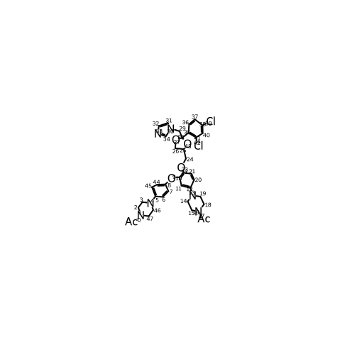 CC(=O)N1CCN(c2ccc(Oc3cc(N4CCN(C(C)=O)CC4)ccc3OCC3COC(Cn4ccnc4)(c4ccc(Cl)cc4Cl)O3)cc2)CC1